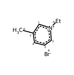 CC[n+]1cccc(C)c1.[Br-]